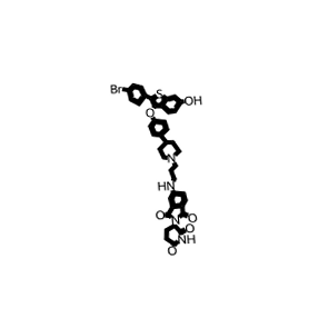 O=C1CCC(N2C(=O)c3ccc(NCCCN4CCC(c5ccc(Oc6c(-c7ccc(Br)cc7)sc7cc(O)ccc67)cc5)CC4)cc3C2=O)C(=O)N1